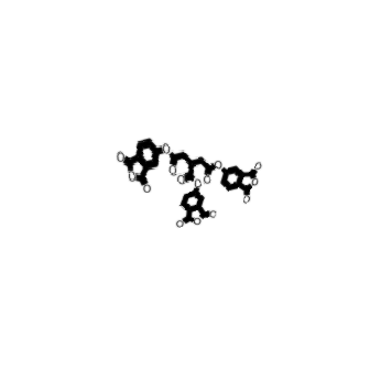 O=C(CC(CC(=O)Oc1ccc2c(c1)C(=O)OC2=O)C(=O)Oc1ccc2c(c1)C(=O)OC2=O)Oc1ccc2c(c1)C(=O)OC2=O